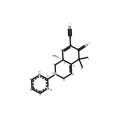 CC1(C)C(=O)C(C#N)=C[C@]2(C)CN(c3ncccn3)CC=C12